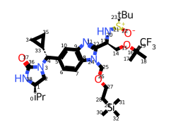 CC(C)[C@@H]1CN([C@@H](c2ccc3c(c2)nc([C@H](COC(C)(C)C(F)(F)F)N[S@+]([O-])C(C)(C)C)n3COCC[Si](C)(C)C)C2CC2)C(=O)N1